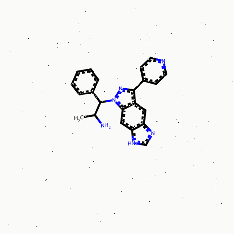 CC(N)C(c1ccccc1)n1nc(-c2ccncc2)c2cc3nc[nH]c3cc21